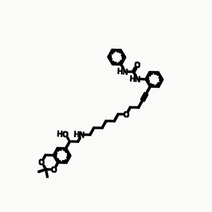 CC1(C)OCc2cc([C@@H](O)CNCCCCCCOCCC#Cc3ccccc3NC(=O)Nc3ccccc3)ccc2O1